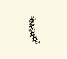 Cc1cc(NC(=O)c2cnn(-c3ccc(C(F)(F)F)cn3)c2C)cnc1C1CCC(O)CC1